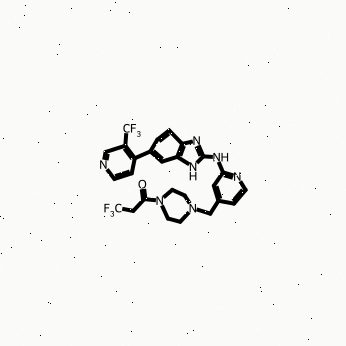 O=C(CC(F)(F)F)N1CCN(Cc2ccnc(Nc3nc4ccc(-c5ccncc5C(F)(F)F)cc4[nH]3)c2)CC1